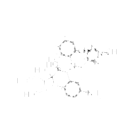 COC(OC)[C@@]1(C)Oc2ccc(N)cc2[C@H](N(Cc2nnn(C)n2)c2c(C)cccc2C)[C@H]1O